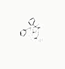 CC1(c2ccccc2)C(=O)N(CC(=O)O)C(=O)N1Cc1ccccc1